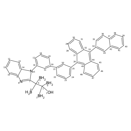 BC(B)(O)C(B)(B)c1nc2ccccc2n1-c1cccc(-c2cccc(-c3c4ccccc4c(-c4ccc5ccccc5c4)c4ccccc34)c2)c1